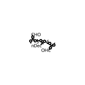 CCCCCCCCCCCCn1c2cc(-c3cc4cc(N(c5ccc(C=O)cc5)c5cccc(C)c5)ccc4s3)ccc2c2ccc(-c3cc4cc(N(c5ccc(C=O)cc5)c5cccc(C)c5)ccc4s3)cc21